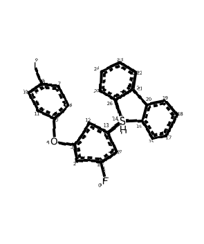 Fc1cc(Oc2ccc(I)cc2)cc([SH]2c3ccccc3-c3ccccc32)c1